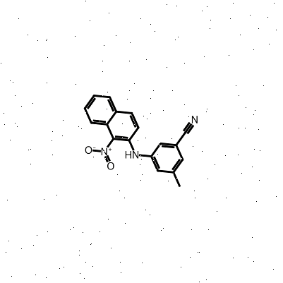 Cc1cc(C#N)cc(Nc2ccc3ccccc3c2[N+](=O)[O-])c1